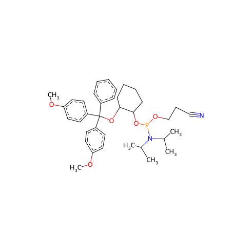 COc1ccc(C(OC2CCCCC2OP(OCCC#N)N(C(C)C)C(C)C)(c2ccccc2)c2ccc(OC)cc2)cc1